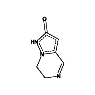 O=c1cc2n([nH]1)CCN=C2